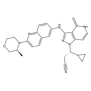 C[C@H]1COCCN1c1ccc2cc(Nc3nn([C@@H](CC#N)C4CC4)c4cc[nH]c(=O)c34)ccc2n1